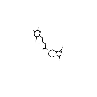 N[C@@H](CC(=O)N1CCn2c(C(F)(F)F)nc(I)c2C1)Cc1cc(F)c(F)cc1F